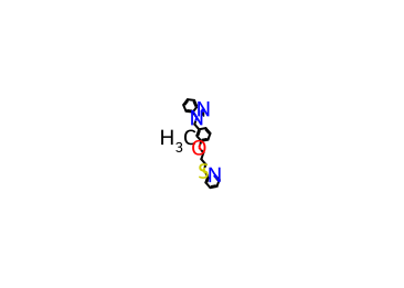 Cc1c(Cn2cnc3ccccc32)cccc1OCCCSc1ccccn1